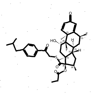 CCC(=O)O[C@]1(C(=O)SCC(=O)c2ccc(CC(C)C)cc2)[C@H](C)C[C@H]2[C@@H]3C[C@H](F)C4=CC(=O)C=C[C@]4(C)[C@@]3(F)[C@@H](O)C[C@@]21C